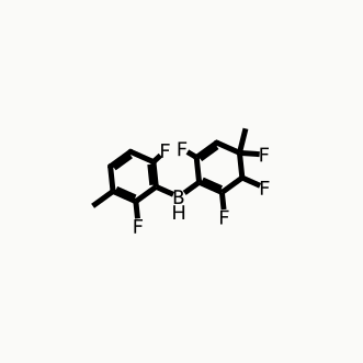 Cc1ccc(F)c(BC2=C(F)C(F)C(C)(F)C=C2F)c1F